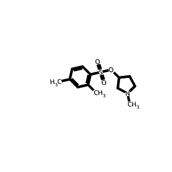 Cc1ccc(S(=O)(=O)OC2CCN(C)C2)c(C)c1